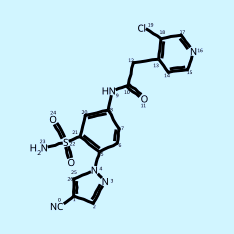 N#Cc1cnn(-c2ccc(NC(=O)Cc3ccncc3Cl)cc2S(N)(=O)=O)c1